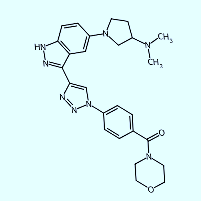 CN(C)C1CCN(c2ccc3[nH]nc(-c4cn(-c5ccc(C(=O)N6CCOCC6)cc5)nn4)c3c2)C1